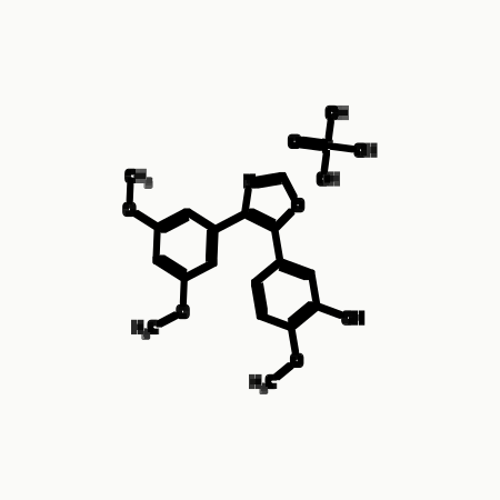 COc1cc(OC)cc(-c2ncoc2-c2ccc(OC)c(O)c2)c1.O=P(O)(O)O